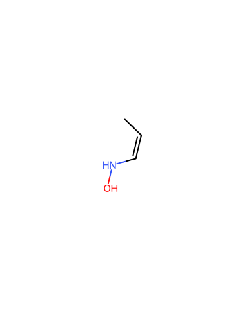 C/C=C\NO